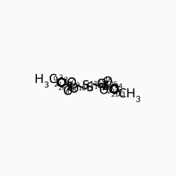 Cc1ccc(S(=O)(=O)OCCSSCCOS(=O)(=O)c2ccc(C)cc2)cc1